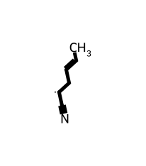 CC=CC[CH]C#N